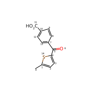 Cc1ccc(C(=O)c2ccc(C(=O)O)cc2)s1